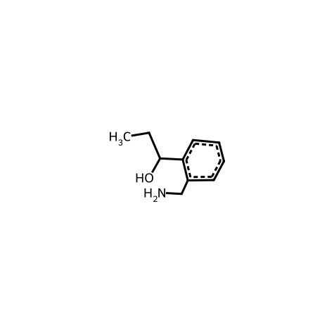 CCC(O)c1ccccc1CN